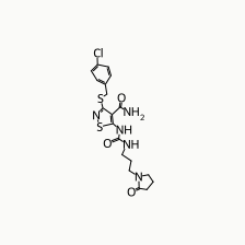 NC(=O)c1c(SCc2ccc(Cl)cc2)nsc1NC(=O)NCCCN1CCCC1=O